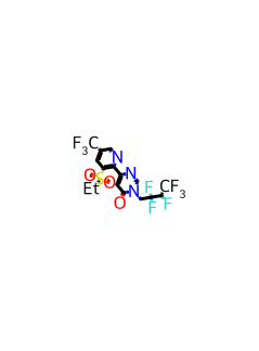 CCS(=O)(=O)c1cc(C(F)(F)F)cnc1-c1cc(=O)n(CC(F)(F)C(F)C(F)(F)F)cn1